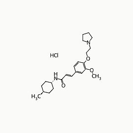 COc1cc(C=CC(=O)N[C@H]2CC[C@H](C)CC2)ccc1OCCN1CCCC1.Cl